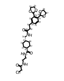 O=C(CCl)NCCNC(=O)[C@H]1CC[C@H](CNC(=O)CCc2ccc(C3OCCO3)c(C3OCCO3)c2)CC1